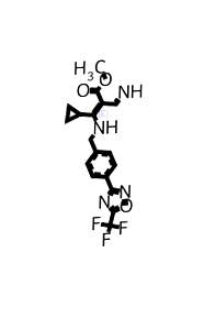 COC(=O)/C(C=N)=C(/NCc1ccc(-c2noc(C(F)(F)F)n2)cc1)C1CC1